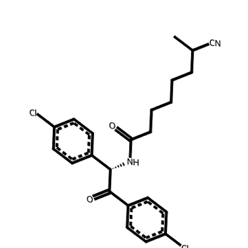 CC(C#N)CCCCCC(=O)N[C@H](C(=O)c1ccc(Cl)cc1)c1ccc(Cl)cc1